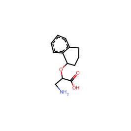 NCC(OC1CCCc2ccccc21)C(=O)O